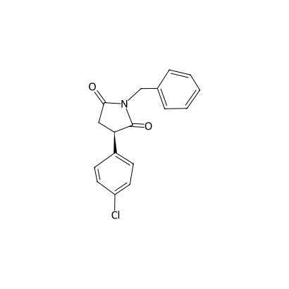 O=C1C[C@H](c2ccc(Cl)cc2)C(=O)N1Cc1ccccc1